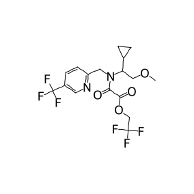 COCC(C1CC1)N(Cc1ccc(C(F)(F)F)cn1)C(=O)C(=O)OCC(F)(F)F